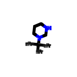 CCC[Si](CCC)(CCC)N1CCCNC1